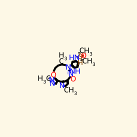 CC[SH](=O)(CC)Nc1ccc2c(c1)N1CC(C)CCCOc3c(cnn3C)-c3cc(cc(C)n3)C(=O)/N=C/1N2